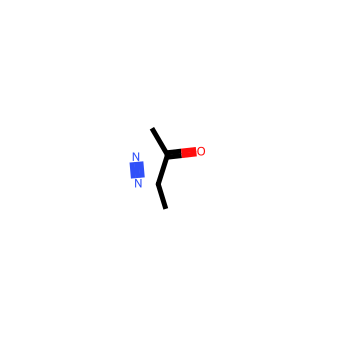 CCC(C)=O.N#N